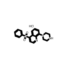 Cl.O=S(=O)(c1ccccc1)c1ccnc2c(N3CCNCC3)cccc12